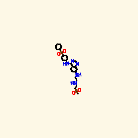 CS(=O)(=O)CCNCCNc1ccc2c(Nc3ccc(S(=O)(=O)c4ccccc4)cc3)ncnc2c1